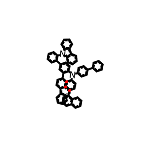 c1ccc(-c2ccc(N(c3ccc(-c4cccc5ccccc45)cc3)c3ccc(-c4ccccc4-n4c5ccccc5c5ccccc54)cc3-c3ccc4c(c3)sc3ccccc34)cc2)cc1